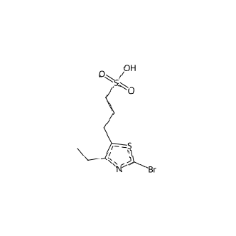 CCc1nc(Br)sc1CCCS(=O)(=O)O